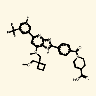 COCC1(CN(C)c2cc(-c3cc(F)cc(C(F)(F)F)c3)nc3nc(-c4ccc(C(=O)N5CCC(C(=O)O)CC5)cc4)[nH]c23)CCC1